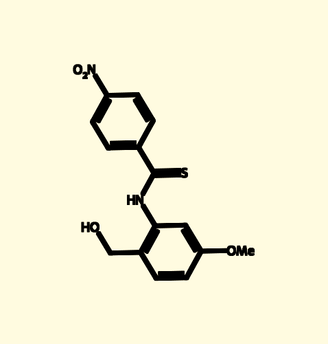 COc1ccc(CO)c(NC(=S)c2ccc([N+](=O)[O-])cc2)c1